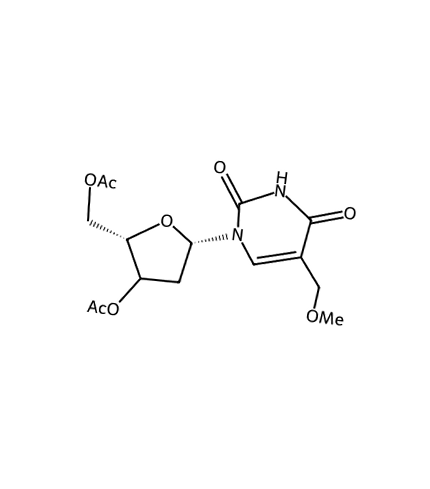 COCc1cn([C@@H]2CC(OC(C)=O)[C@H](COC(C)=O)O2)c(=O)[nH]c1=O